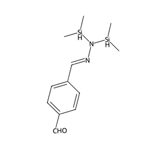 C[SiH](C)N(N=Cc1ccc(C=O)cc1)[SiH](C)C